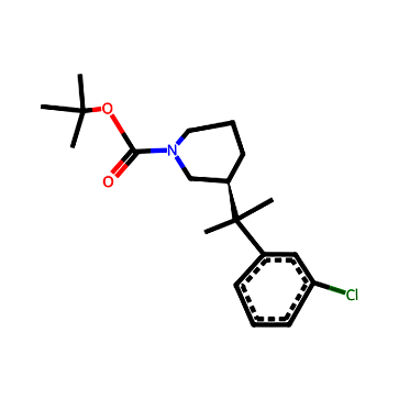 CC(C)(C)OC(=O)N1CCC[C@@H](C(C)(C)c2cccc(Cl)c2)C1